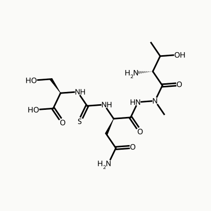 CC(O)[C@@H](N)C(=O)N(C)NC(=O)[C@@H](CC(N)=O)NC(=S)N[C@H](CO)C(=O)O